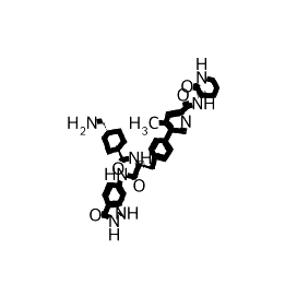 Cc1cc(C(=O)N[C@@H]2CCCNC2=O)ncc1-c1ccc(C[C@H](NC(=O)[C@H]2CC[C@H](CN)CC2)C(=O)Nc2ccc3c(=O)[nH][nH]c3c2)cc1